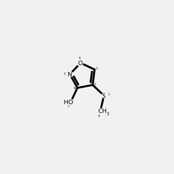 CSc1conc1O